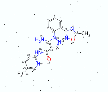 Cc1nc(-c2ccccc2-n2ncc(C(=O)Nc3ccc(C(F)(F)F)cn3)c2N)no1